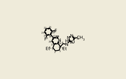 CC[C@H]1CC[C@](CC)(CNc2nnc(C)o2)c2nnc(-c3c(F)cccc3F)cc21